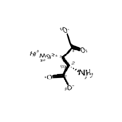 I.N[C@@H](CC(=O)[O-])C(=O)[O-].[Mg+2]